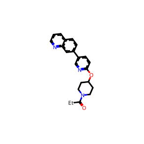 CCC(=O)N1CCC(Oc2ccc(-c3ccc4cccnc4c3)cn2)CC1